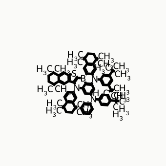 CC(C)(C)c1ccc(N(c2ccccc2)c2cc3c4c(c2)N(c2ccc5c(c2)C(C)(C)CCC5(C)C)c2c(sc5cc6c(cc25)C(C)(C)CCC6(C)C)B4c2cc4c(cc2N3c2cc(C(C)(C)C)cc(C(C)(C)C)c2)C(C)(C)CCC4(C)C)cc1